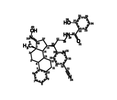 C[C@]12CCC3c4ccccc4CCC3C1[C@H](C(CCNC(=O)c1ccccc1O)c1ccc(C#N)cn1)C/C2=N\O